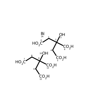 O=C(O)CC(O)(CC(=O)O)C(=O)O.O=C(O)CC(O)(CC(=O)O)C(=O)O.[Bi]